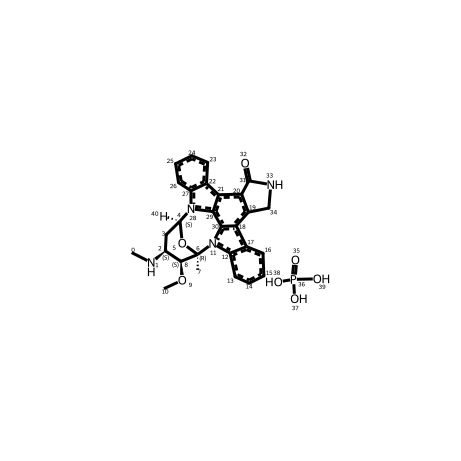 CN[C@H]1C[C@@H]2O[C@](C)([C@H]1OC)n1c3ccccc3c3c4c(c5c6ccccc6n2c5c31)C(=O)NC4.O=P(O)(O)O